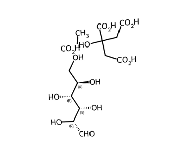 CC(=O)O.O=C(O)CC(O)(CC(=O)O)C(=O)O.O=C[C@H](O)[C@@H](O)[C@H](O)[C@H](O)CO